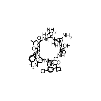 CC(C)C[C@@H]1NC(=O)[C@@H](Cc2ccccc2)NC(=O)[C@H](CCN)NC(=O)[C@@H](NC(=O)C2(c3ccc(Cl)cc3)CCC2)CCNC(=O)[C@H]([C@@H](C)O)NC(=O)[C@H](CCN)NC(=O)[C@H](CCN)NC1=O